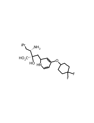 CC(C)C[C@H](N)[C@](O)(CC1C=C(OC2CCC(F)(F)CC2)C=CN1)C(=O)O